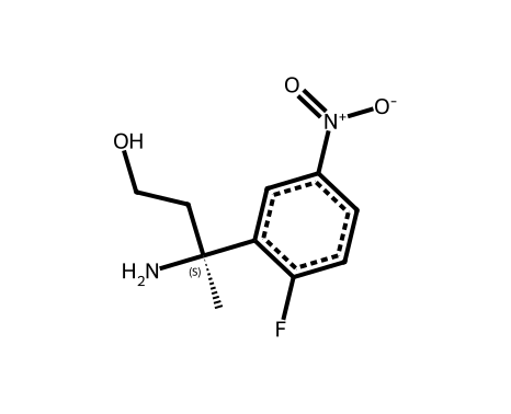 C[C@](N)(CCO)c1cc([N+](=O)[O-])ccc1F